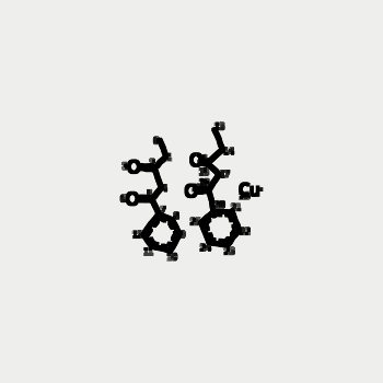 CCC(=O)CC(=O)c1ccccc1.CCC(=O)CC(=O)c1ccccc1.[Cu]